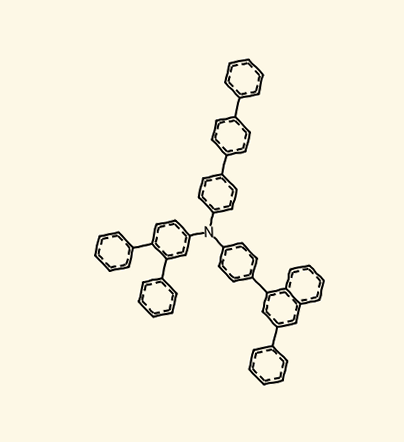 c1ccc(-c2ccc(-c3ccc(N(c4ccc(-c5cc(-c6ccccc6)cc6ccccc56)cc4)c4ccc(-c5ccccc5)c(-c5ccccc5)c4)cc3)cc2)cc1